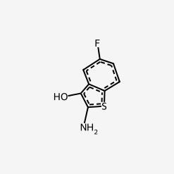 Nc1sc2ccc(F)cc2c1O